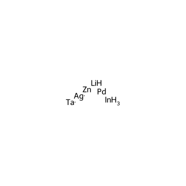 [Ag].[InH3].[LiH].[Pd].[Ta].[Zn]